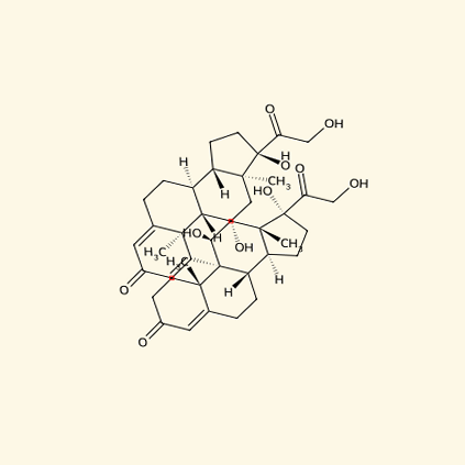 C[C@@]12C(=CC(=O)C=C1[C@]13[C@@H](O)C[C@@]4(C)[C@@H](CC[C@]4(O)C(=O)CO)[C@@H]1CCC1=CC(=O)CC[C@@]13C)CC[C@@H]1[C@@H]2[C@@H](O)C[C@@]2(C)[C@H]1CC[C@]2(O)C(=O)CO